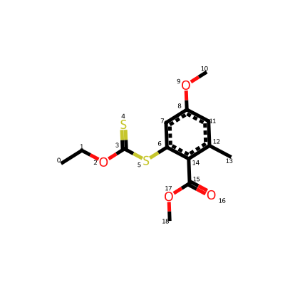 CCOC(=S)Sc1cc(OC)cc(C)c1C(=O)OC